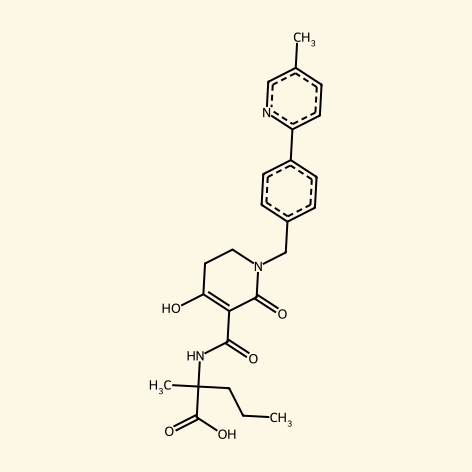 CCCC(C)(NC(=O)C1=C(O)CCN(Cc2ccc(-c3ccc(C)cn3)cc2)C1=O)C(=O)O